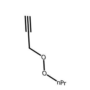 C#CCOOCCC